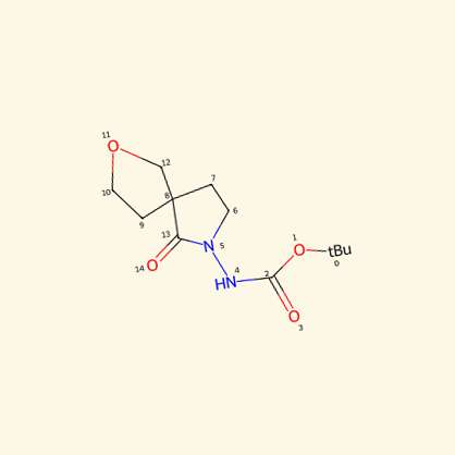 CC(C)(C)OC(=O)NN1CCC2(CCOC2)C1=O